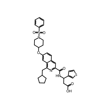 O=C(O)CC(NC(=O)c1cc2ccc(OC3CCN(S(=O)(=O)c4ccccc4)CC3)cc2c(CC2CCCC2)n1)c1ccsc1